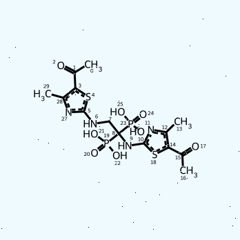 CC(=O)c1sc(NCC(Nc2nc(C)c(C(C)=O)s2)(P(=O)(O)O)P(=O)(O)O)nc1C